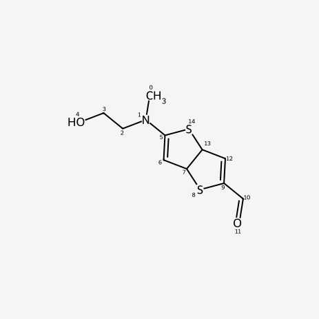 CN(CCO)C1=CC2SC(C=O)=CC2S1